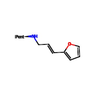 CCC[C@H](C)NC/C=C/c1ccco1